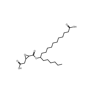 CCCCCCC(CCCCCCCCCCC(=O)O)OC(=O)C1OC1CC(=O)O